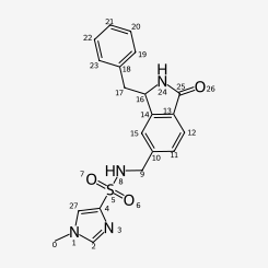 Cn1cnc(S(=O)(=O)NCc2ccc3c(c2)C(Cc2ccccc2)NC3=O)c1